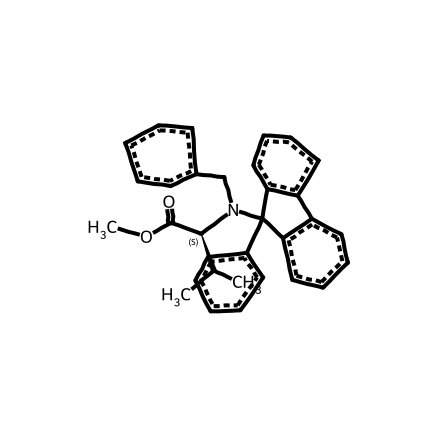 COC(=O)[C@H](C(C)C)N(Cc1ccccc1)C1(c2ccccc2)c2ccccc2-c2ccccc21